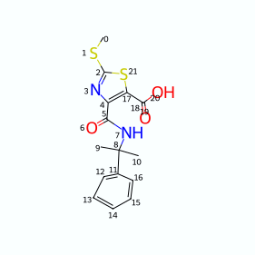 CSc1nc(C(=O)NC(C)(C)c2ccccc2)c(C(=O)O)s1